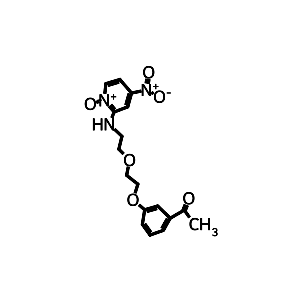 CC(=O)c1cccc(OCCOCCNc2cc([N+](=O)[O-])cc[n+]2[O-])c1